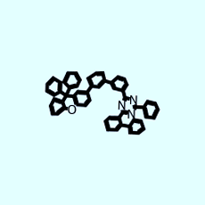 c1ccc(-c2nc(-c3cccc(-c4cccc(-c5ccc6c(c5)C(c5ccccc5)(c5ccccc5)c5ccccc5O6)c4)c3)nc(-c3ccccc3-c3ccccc3)n2)cc1